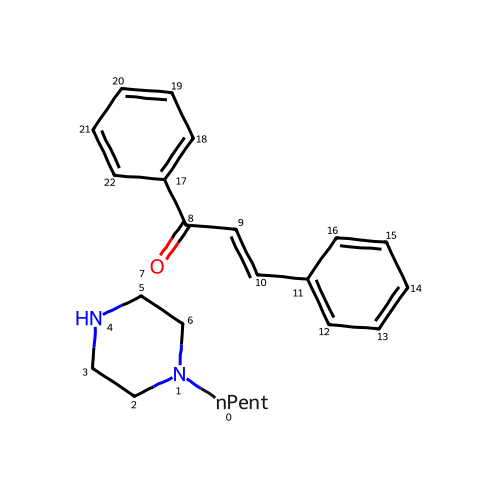 CCCCCN1CCNCC1.O=C(C=Cc1ccccc1)c1ccccc1